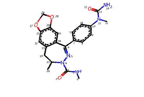 CNC(=O)N1N=C(c2ccc(N(C)C(N)=O)cc2)c2cc3c(cc2CC1C)OCO3